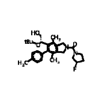 Cc1ccc(-c2c(C)c3c(c(C)c2[C@@H](CO)OC(C)(C)C)CN(C(=O)N2CC[C@@H](F)C2)C3)cc1